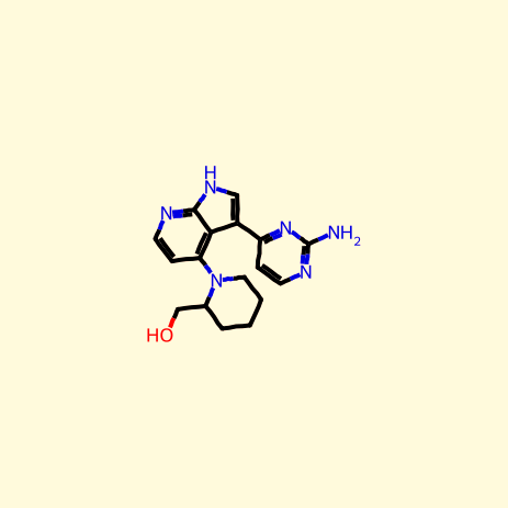 Nc1nccc(-c2c[nH]c3nccc(N4CCCCC4CO)c23)n1